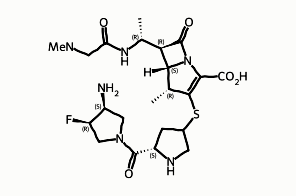 CNCC(=O)N[C@H](C)[C@H]1C(=O)N2C(C(=O)O)=C(SC3CN[C@H](C(=O)N4C[C@@H](F)[C@@H](N)C4)C3)[C@H](C)[C@H]12